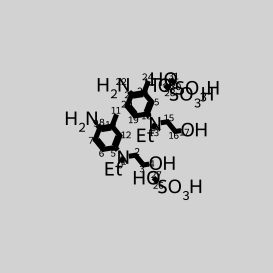 CCN(CCO)c1ccc(N)c(C)c1.CCN(CCO)c1ccc(N)c(C)c1.O=S(=O)(O)O.O=S(=O)(O)O.O=S(=O)(O)O